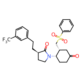 O=C1CC[C@H](N2CC[C@@H](CCc3cccc(C(F)(F)F)c3)C2=O)[C@H](CS(=O)(=O)c2ccccc2)C1